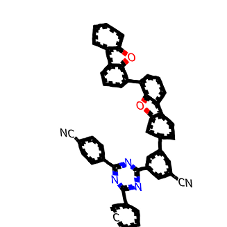 N#Cc1ccc(-c2nc(-c3ccccc3)nc(-c3cc(C#N)cc(-c4ccc5c(c4)oc4c(-c6cccc7c6oc6ccccc67)cccc45)c3)n2)cc1